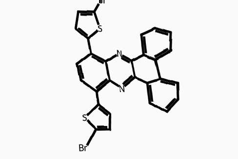 Brc1ccc(-c2ccc(-c3ccc(Br)s3)c3nc4c5ccccc5c5ccccc5c4nc23)s1